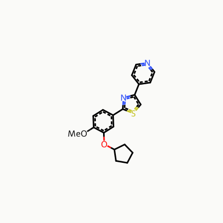 COc1ccc(-c2nc(-c3ccncc3)cs2)cc1OC1CCCC1